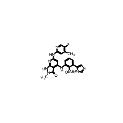 COc1c(Nc2cc(Nc3cc(C)c(F)cn3)nc3[nH]n(C)c(=O)c23)cccc1-c1cnc[nH]1